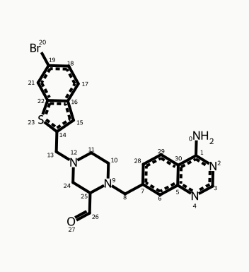 Nc1ncnc2cc(CN3CCN(Cc4cc5ccc(Br)cc5s4)CC3C=O)ccc12